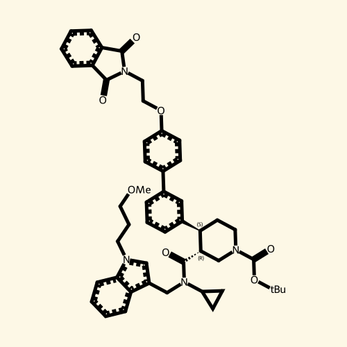 COCCCn1cc(CN(C(=O)[C@H]2CN(C(=O)OC(C)(C)C)CC[C@@H]2c2cccc(-c3ccc(OCCN4C(=O)c5ccccc5C4=O)cc3)c2)C2CC2)c2ccccc21